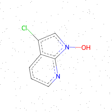 On1cc(Cl)c2cccnc21